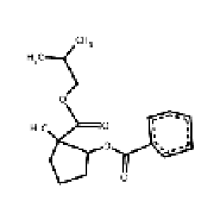 CC(C)COC(=O)C1(C)CCCC1OC(=O)c1ccccc1